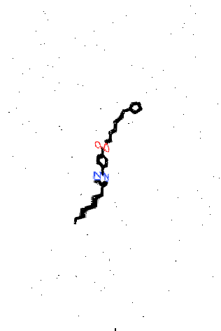 CCCCCCCc1cnc(-c2ccc(C(=O)OCCCCCCCC3CCCC3)cc2)nc1